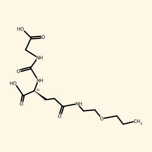 CCCOCCNC(=O)CC[C@H](NC(=O)NCC(=O)O)C(=O)O